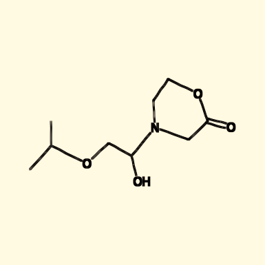 CC(C)OCC(O)N1CCOC(=O)C1